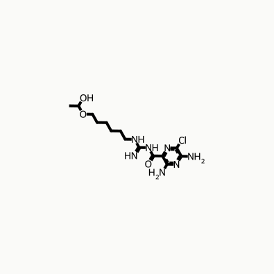 CC(O)OCCCCCCNC(=N)NC(=O)c1nc(Cl)c(N)nc1N